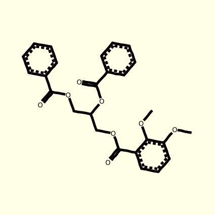 COc1cccc(C(=O)OCC(COC(=O)c2ccccc2)OC(=O)c2ccccc2)c1OC